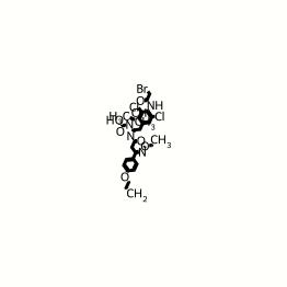 C=CCOc1ccc(C(CC(=O)N=C(Cc2cc(Cl)c(NC(=O)CBr)c(Cl)c2)N(C(=O)O)C(C)(C)C)=NOCC)cc1